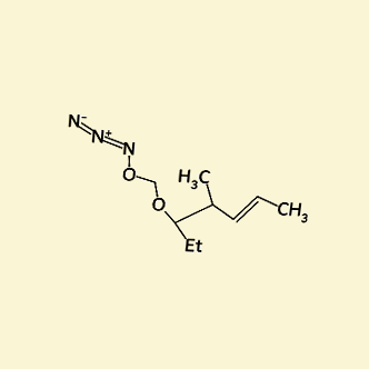 CC=CC(C)C(CC)OCON=[N+]=[N-]